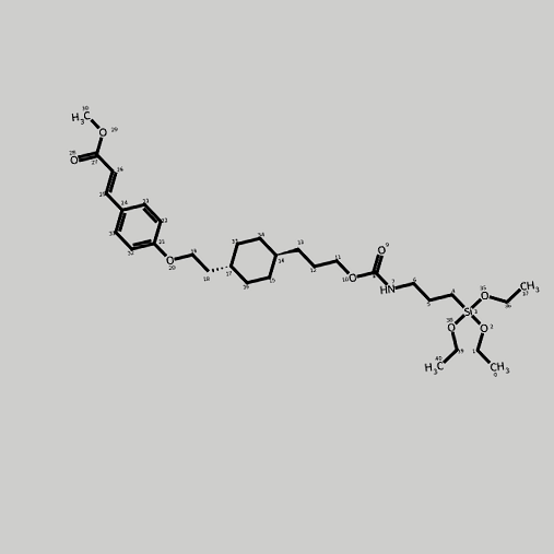 CCO[Si](CCCNC(=O)OCCC[C@H]1CC[C@H](CCOc2ccc(C=CC(=O)OC)cc2)CC1)(OCC)OCC